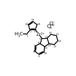 CCC1=[C]([Zr+2][CH]2C3C=CC=CC3C3CCCCC32)CC=C1.[Cl-].[Cl-]